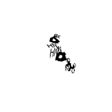 COC(=O)c1cncc(Oc2ccc3[nH]c(Nc4ccc(Br)cc4)nc3c2C)c1